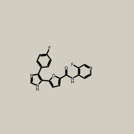 O=C(Nc1ccncc1F)c1ccc(-c2[nH]cnc2-c2ccc(F)cc2)o1